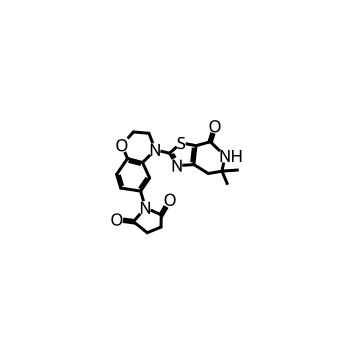 CC1(C)Cc2nc(N3CCOc4ccc(N5C(=O)CCC5=O)cc43)sc2C(=O)N1